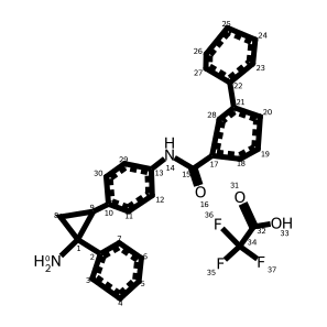 NC1(c2ccccc2)CC1c1ccc(NC(=O)c2cccc(-c3ccccc3)c2)cc1.O=C(O)C(F)(F)F